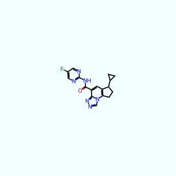 O=C(Nc1ncc(F)cn1)c1cc2c(n3cnnc13)CCC2C1CC1